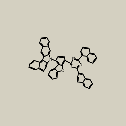 c1ccc2cc(-c3nc(-c4cccc5ccccc45)nc(-c4ccc(-n5c6cc7ccccc7cc6c6c7ccccc7ccc65)c5c4oc4ccccc45)n3)ccc2c1